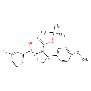 COc1ccc([C@H]2CC[C@H]([C@@H](O)c3cccc(F)c3)N2C(=O)OC(C)(C)C)cc1